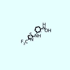 ONc1[c]c(Nc2nc(C(F)(F)F)cs2)ccc1